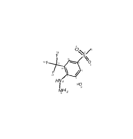 CS(=O)(=O)c1ccc(NN)c(C(F)(F)F)c1.Cl